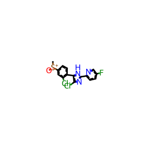 C[S+]([O-])c1ccc(-c2[nH]c(-c3ccc(F)cn3)nc2Cl)c(Cl)c1